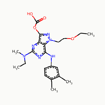 CCOCCn1nc(OC(=O)O)c2nc(N(C)CC)nc(Nc3ccc(C)c(C)c3)c21